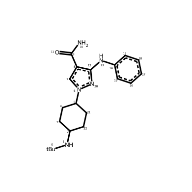 CC(C)(C)NC1CCC(n2cc(C(N)=O)c(Nc3ccccc3)n2)CC1